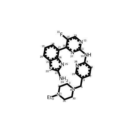 CCN1CCN(Cc2ccc(Nc3ncc(F)c(-c4cccc5sc(N)nc45)n3)nc2)CC1